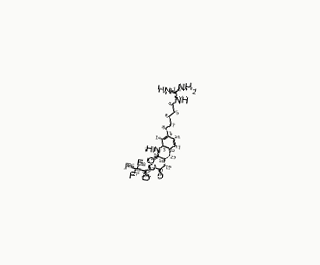 N=C(N)NCCCCCc1ccc2c(c1)NC(=O)C(CC(=O)OC(=O)C(F)(F)F)C2